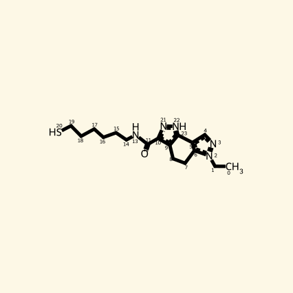 CCn1ncc2c1CCc1c(C(=O)NCCCCCCS)n[nH]c1-2